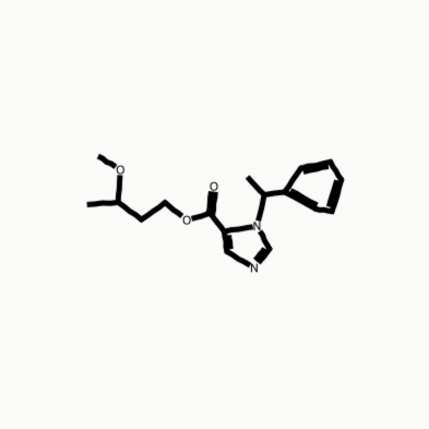 COC(C)CCOC(=O)c1cncn1C(C)c1ccccc1